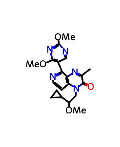 COc1ncc(-c2nccc3c2nc(C)c(=O)n3CC(OC)C2CC2)c(OC)n1